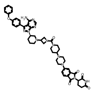 Nc1ncnc2c1c(-c1ccc(Oc3ccccc3)cc1)nn2[C@@H]1CCCN(C2CN(C(=O)N3CCC(N4CCN(c5ccc6c(c5)C(=O)N(C5CCC(=O)NC5=O)C6=O)CC4)CC3)C2)C1